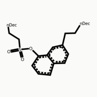 CCCCCCCCCCCCc1ccc2cccc(OS(=O)(=O)CCCCCCCCCCCC)c2c1